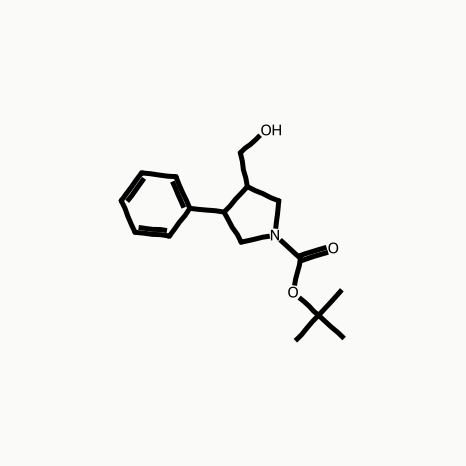 CC(C)(C)OC(=O)N1CC(CO)C(c2ccccc2)C1